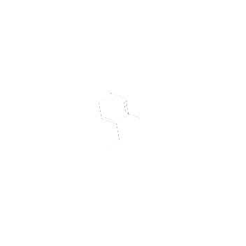 CC(C)CC1=CCCC=C1Cl